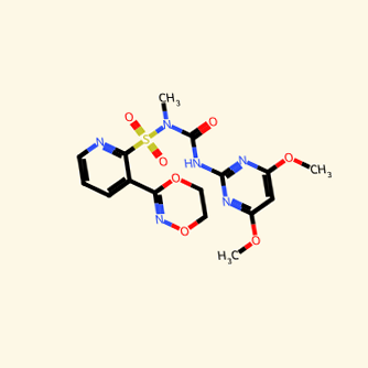 COc1cc(OC)nc(NC(=O)N(C)S(=O)(=O)c2ncccc2C2=NOCCO2)n1